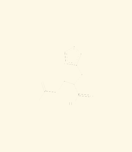 CC(=O)SCC(Cc1ccco1)C(=O)O